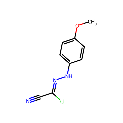 COc1ccc(NN=C(Cl)C#N)cc1